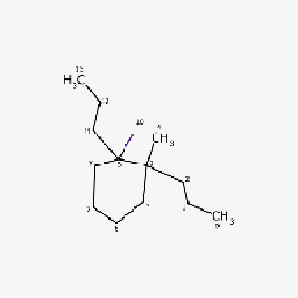 CCCC1(C)CCCCC1(I)CCC